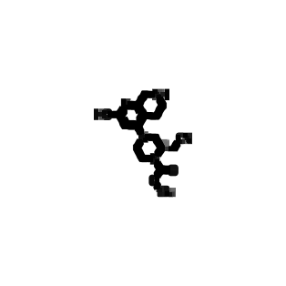 CC(C)(C)OC(=O)N1CCN(c2cc(O)nc3c2CCNC3)C[C@@H]1CC#N